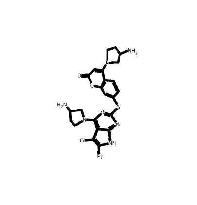 CCc1[nH]c2nc(Sc3ccc4c(N5CCC(N)C5)cc(=O)oc4c3)nc(N3CCC(N)C3)c2c1Cl